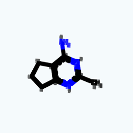 Cc1nc(N)c2c(n1)CCC2